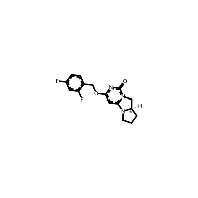 O=c1nc(OCc2ccc(F)cc2F)cc2n1C[C@H]1CCCN21